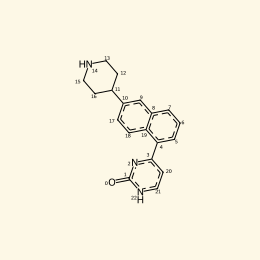 O=c1nc(-c2cccc3cc(C4CCNCC4)ccc23)cc[nH]1